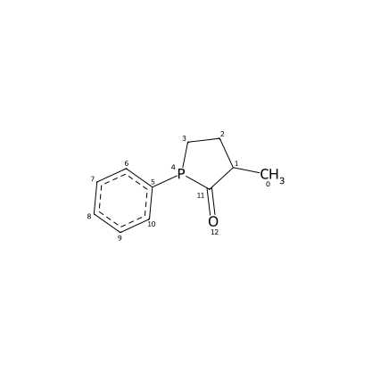 CC1CCP(c2ccccc2)C1=O